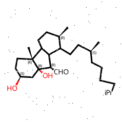 CC(C)CCCC[C@H](C)CCC1C2C(CC[C@H]1C)[C@@]1(C)CC[C@H](O)C[C@@]1(O)[C@@H]2C=O